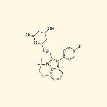 CC1(C)CCc2cccc3c(-c4ccc(F)cc4)c(/C=C/C4CC(O)CC(=O)O4)n1c23